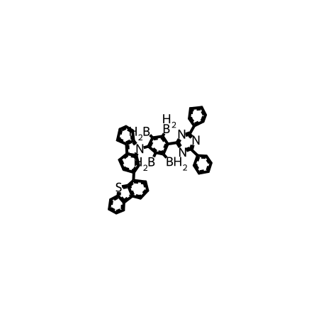 Bc1c(B)c(-n2c3ccccc3c3ccc(-c4cccc5c4sc4ccccc45)cc32)c(B)c(B)c1-c1nc(-c2ccccc2)nc(-c2ccccc2)n1